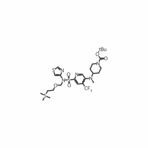 CN(c1cnc(S(=O)(=O)N(COCCS(C)(C)C)c2cscn2)cc1C(F)(F)F)C1CCN(C(=O)OC(C)(C)C)CC1